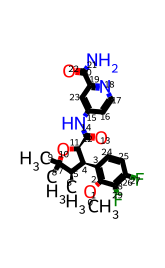 COc1c([C@H]2[C@@H](C)C(C)(C)O[C@H]2C(=O)Nc2ccnc(C(N)=O)c2)ccc(F)c1F